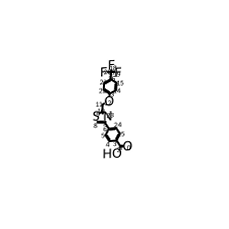 O=C(O)c1ccc(-c2csc(COc3ccc(C(F)(F)F)cc3)n2)cc1